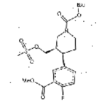 COC(=O)c1cc([C@@H]2CCN(C(=O)OC(C)(C)C)C[C@@H]2COS(C)(=O)=O)ccc1F